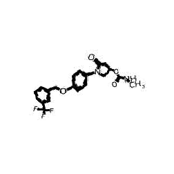 CNC(=O)OC1CC(=O)N(c2ccc(OCc3cccc(C(F)(F)F)c3)cc2)C1